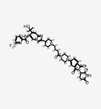 CC(C)(O)c1cc2nc(C3CCN(CCCC(=O)N4CCN(c5ccc6c(c5)C(=O)N(C5CCC(=O)NC5=O)C6=O)CC4)CC3)cn2cc1NC(=O)c1cccc(C(F)(F)F)n1